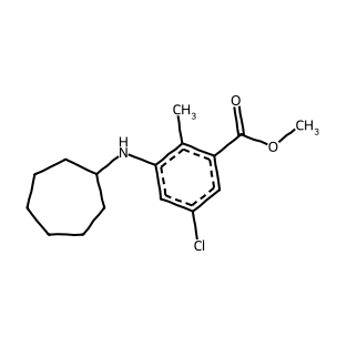 COC(=O)c1cc(Cl)cc(NC2CCCCCC2)c1C